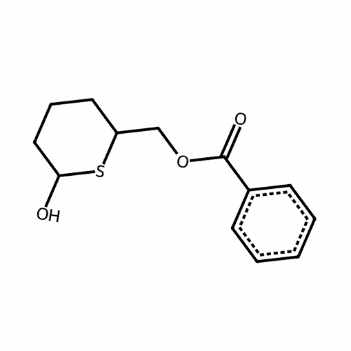 O=C(OCC1CCCC(O)S1)c1ccccc1